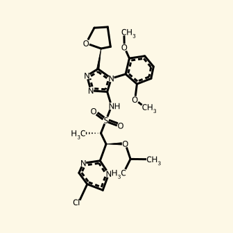 COc1cccc(OC)c1-n1c(NS(=O)(=O)[C@@H](C)[C@@H](OC(C)C)c2ncc(Cl)cn2)nnc1[C@@H]1CCCO1